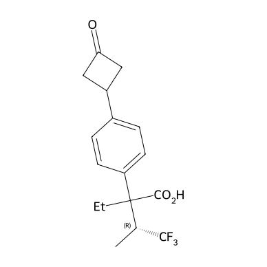 CCC(C(=O)O)(c1ccc(C2CC(=O)C2)cc1)[C@@H](C)C(F)(F)F